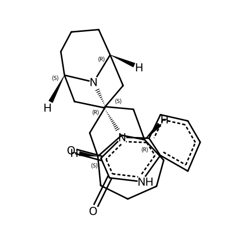 O=c1[nH]c2ccccc2n([C@H]2C[C@H]3CCC[C@@H](C2)N3[C@@H]2C[C@@H]3CCCC[C@@H](C3)C2)c1=O